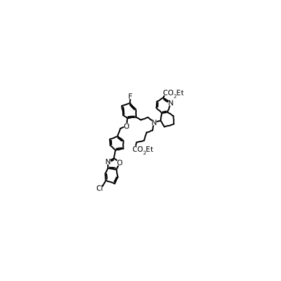 CCOC(=O)CCCCN(CCc1cc(F)ccc1OCc1ccc(-c2nc3cc(Cl)ccc3o2)cc1)C1CCCc2nc(C(=O)OCC)ccc21